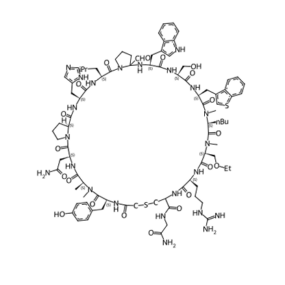 CCCC[C@H]1C(=O)N(C)[C@@H](COCC)C(=O)N[C@@H](CCCNC(=N)N)C(=O)NC(C(=O)NCC(N)=O)CSCC(=O)N[C@@H](Cc2ccc(O)cc2)C(=O)N(C)[C@@H](C)C(=O)N[C@@H](CC(N)=O)C(=O)N2CCC[C@H]2C(=O)N[C@@H](Cc2cnc[nH]2)C(=O)N[C@@H](CC(C)C)C(=O)N2CCCC2(C=O)N[C@@H](Cc2c[nH]c3ccccc23)C(=O)N[C@@H](CO)C(=O)N[C@@H](Cc2csc3ccccc23)C(=O)N1C